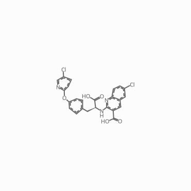 O=C(O)c1cc2cc(Cl)ccc2nc1N[C@@H](Cc1ccc(Oc2ccc(Cl)cn2)cc1)C(=O)O